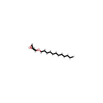 CCCCCCCCCCCCO/C=C1\CO1